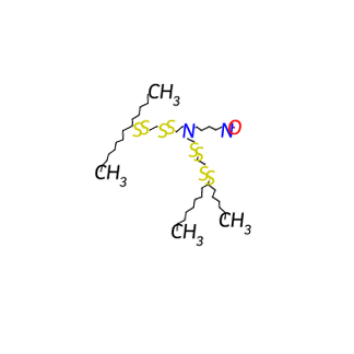 CCCCCCCCC(CCCCCC)SSCCSSCCN(CCCCCN=O)CCSSCCSSC(CCCCCC)CCCCCCCC